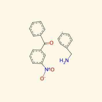 NCc1cc[c]cc1.O=C(c1ccccc1)c1cccc([N+](=O)[O-])c1